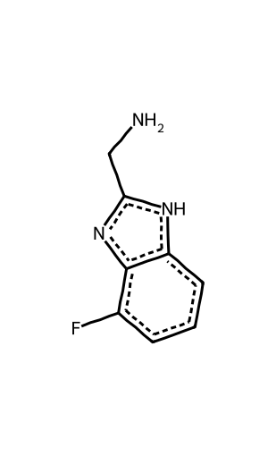 NCc1nc2c(F)cccc2[nH]1